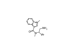 CC(C)C(CN)N(C)C(=O)c1cn(C)c2ccccc12